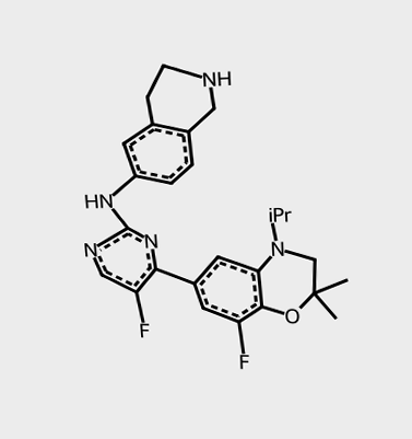 CC(C)N1CC(C)(C)Oc2c(F)cc(-c3nc(Nc4ccc5c(c4)CCNC5)ncc3F)cc21